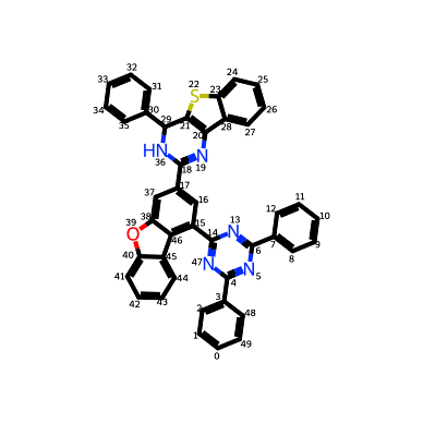 c1ccc(-c2nc(-c3ccccc3)nc(-c3cc(C4=Nc5c(sc6ccccc56)C(c5ccccc5)N4)cc4oc5ccccc5c34)n2)cc1